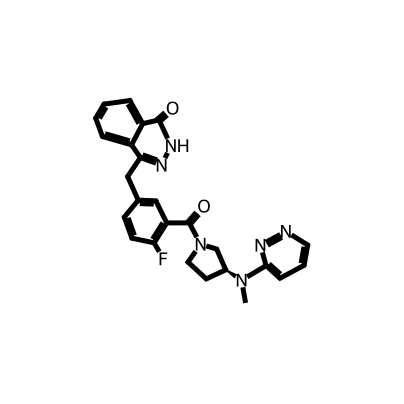 CN(c1cccnn1)[C@H]1CCN(C(=O)c2cc(Cc3n[nH]c(=O)c4ccccc34)ccc2F)C1